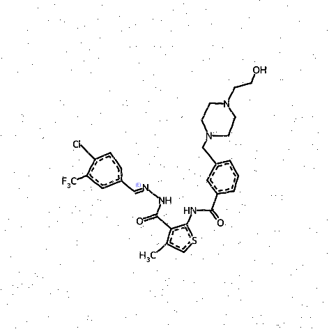 Cc1csc(NC(=O)c2cccc(CN3CCN(CCO)CC3)c2)c1C(=O)N/N=C/c1ccc(Cl)c(C(F)(F)F)c1